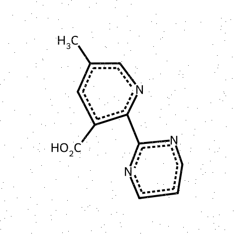 Cc1cnc(-c2ncccn2)c(C(=O)O)c1